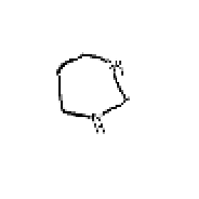 [C]1NCCCN1